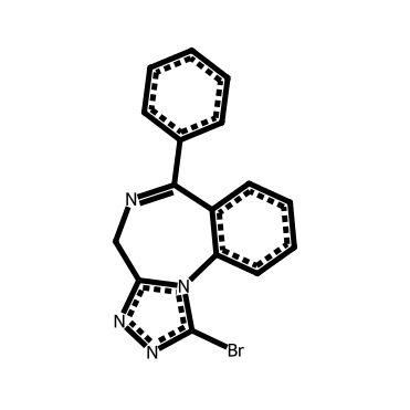 Brc1nnc2n1-c1ccccc1C(c1ccccc1)=NC2